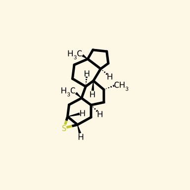 C[C@@H]1C[C@H]2C[C@@H]3S[C@@H]3C[C@]2(C)[C@H]2CC[C@]3(C)CCC[C@H]3[C@H]12